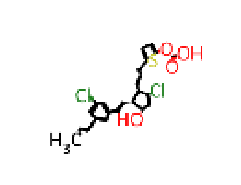 C/C=C/c1cc(Cl)cc(/C=C/[C@@H]2[C@@H](CCCc3ccc(OC(=O)O)s3)[C@H](Cl)C[C@H]2O)c1